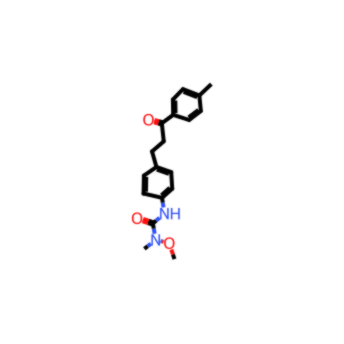 CON(C)C(=O)Nc1ccc(CCC(=O)c2ccc(C)cc2)cc1